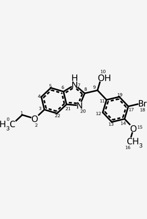 CCOc1ccc2[nH]c(C(O)c3ccc(OC)c(Br)c3)nc2c1